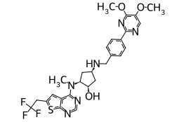 COc1cnc(-c2ccc(CN[C@H]3C[C@@H](O)[C@@H](N(C)c4ncnc5sc(CC(F)(F)F)cc45)C3)cc2)nc1OC